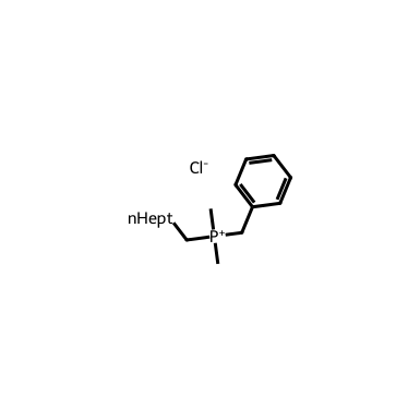 CCCCCCCC[P+](C)(C)Cc1ccccc1.[Cl-]